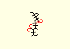 CCC(C)C(C)(C)C(C(=O)O)C(C)C(C)(C)C(C)(C)CC(C)(C(=O)OC)C(C)(C)C(C)(CC)CC